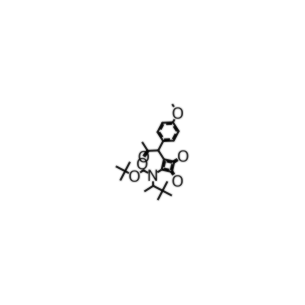 COc1ccc(C(C(C)=O)c2c(N(C(=O)OC(C)(C)C)C(C)C(C)(C)C)c(=O)c2=O)cc1